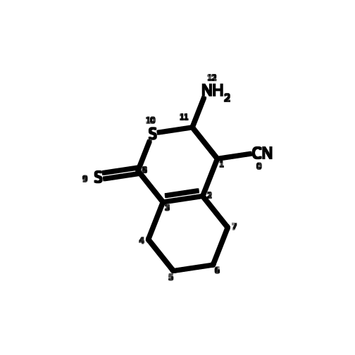 N#CC1C2=C(CCCC2)C(=S)SC1N